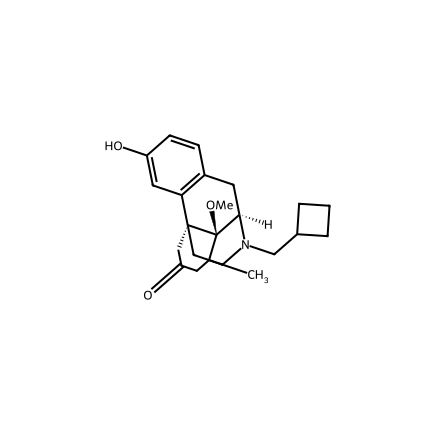 CO[C@@]12C(C)CC(=O)C[C@@]13CCN(CC1CCC1)[C@@H]2Cc1ccc(O)cc13